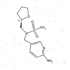 CS(=O)(=O)N(Cc1ccc(N)nc1)C[C@H]1CCCO1